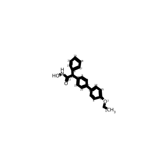 CCOc1ccc(-c2ccc(C(C(=O)NO)c3ccccc3)cc2)cc1